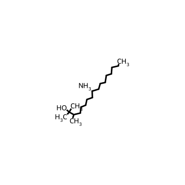 CCCCCCCCCCCCCCC(C)C(C)(C)O.N